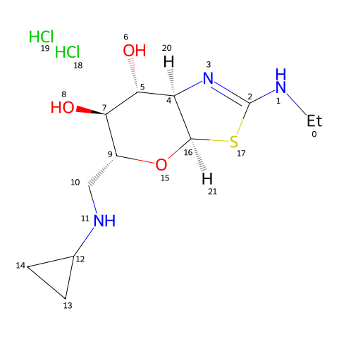 CCNC1=N[C@@H]2[C@@H](O)[C@H](O)[C@@H](CNC3CC3)O[C@@H]2S1.Cl.Cl